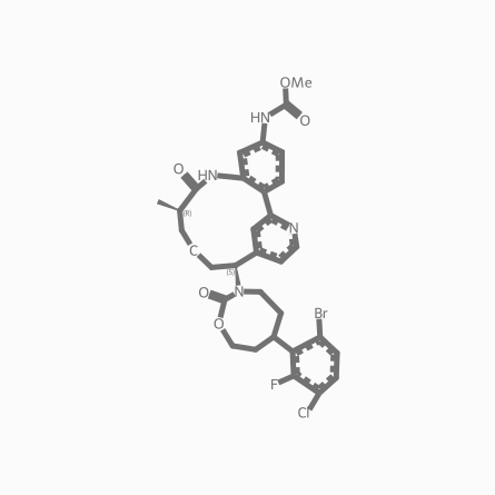 COC(=O)Nc1ccc2c(c1)NC(=O)[C@H](C)CCC[C@H](N1CCC(c3c(Br)ccc(Cl)c3F)CCOC1=O)c1ccnc-2c1